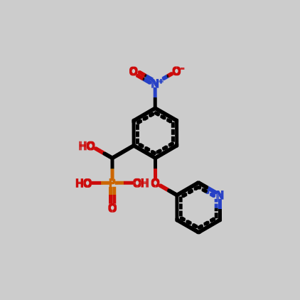 O=[N+]([O-])c1ccc(Oc2cccnc2)c(C(O)P(=O)(O)O)c1